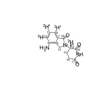 [2H]c1c([2H])c(N)c2c(c1[2H])C(=O)N([C@@]1([2H])CCC(=O)NC1=O)C2